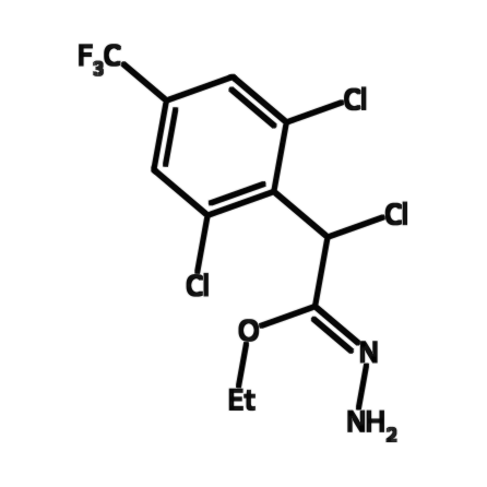 CCO/C(=N\N)C(Cl)c1c(Cl)cc(C(F)(F)F)cc1Cl